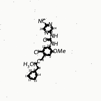 COc1cc(CCN(C)Cc2ccccc2)c(Cl)cc1NC(=O)Nc1cnc(C#N)cn1